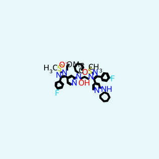 COCCn1c([S+](C)[O-])nc(-c2ccc(F)cc2)c1-c1ccnc(N(C(O)CCn2c([S+](C)[O-])nc(-c3ccc(F)cc3)c2-c2ccnc(NC3CCCCCC3)c2)C2CCCCCC2)c1